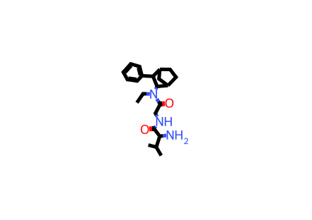 CCN(C(=O)CNC(=O)C(N)C(C)C)C1C2CCC(C2)C1c1ccccc1